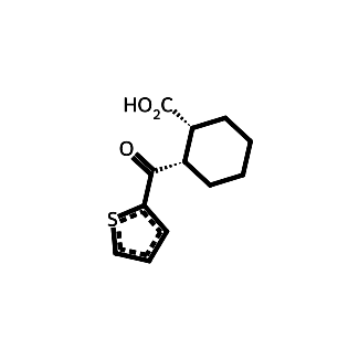 O=C(c1cccs1)[C@H]1CCCC[C@H]1C(=O)O